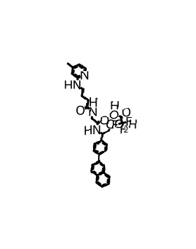 Cc1ccnc(NCCCC(=O)NCC(=O)NC(CC(=O)O)c2ccc(-c3ccc4ccccc4c3)cc2)c1.O=C(O)C(F)(F)F